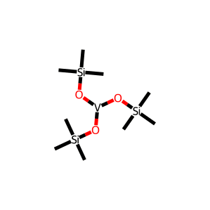 C[Si](C)(C)[O][V]([O][Si](C)(C)C)[O][Si](C)(C)C